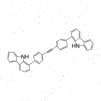 C(#Cc1ccc(-c2cccc3c2[nH]c2ccccc23)cc1)c1ccc(-c2cccc3c2[nH]c2ccccc23)cc1